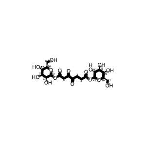 O=C(CCC(=O)C(=O)CC(=O)OC1O[C@H](CO)[C@H](O)[C@H](O)[C@H]1O)OC1O[C@H](CO)[C@H](O)[C@H](O)[C@H]1O